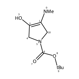 CNC1=C(O)CN(C(=O)OC(C)(C)C)C1